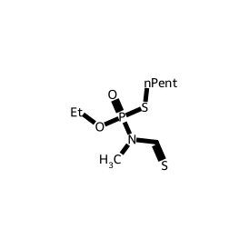 CCCCCSP(=O)(OCC)N(C)C=S